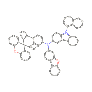 c1ccc2c(c1)Oc1ccccc1C21c2ccccc2-c2ccc(N(c3ccc4c(c3)oc3ccccc34)c3ccc4c(c3)c3ccccc3n4-c3cccc4ccccc34)c3cccc1c23